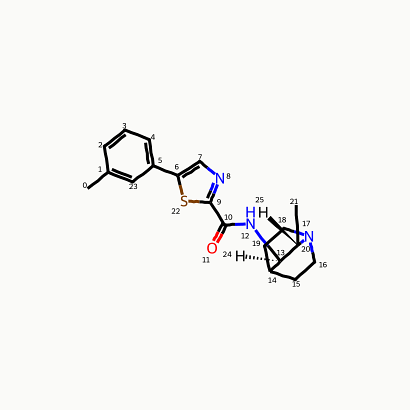 Cc1cccc(-c2cnc(C(=O)N[C@@H]3C4CCN(CC4)[C@H]3C)s2)c1